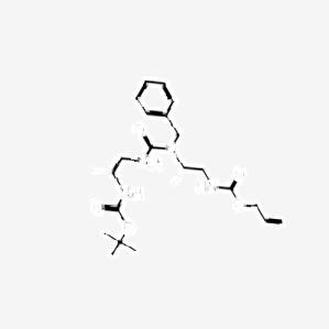 C=CCOC(=O)NC[C@H](C)N(Cc1ccccc1)C(=O)NC[C@@H](C)NC(=O)OC(C)(C)C